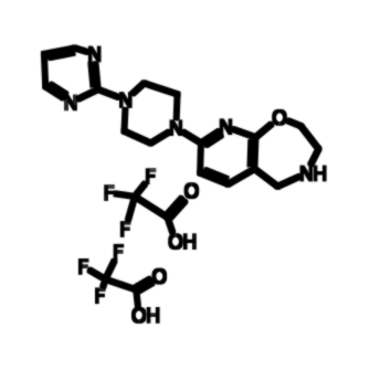 O=C(O)C(F)(F)F.O=C(O)C(F)(F)F.c1cnc(N2CCN(c3ccc4c(n3)OCCNC4)CC2)nc1